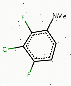 CNc1ccc(F)c(Cl)c1F